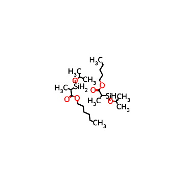 CCCCCCOC(=O)C(C)[SiH2]OC(C)C.CCCCCOC(=O)C(C)[SiH2]OC(C)C